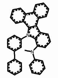 CN(c1ccccc1)c1cccc2c3c4ccccc4c4ccccc4c3n(-c3cccc(-c4ccccc4)c3)c12